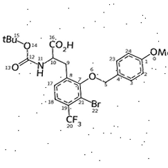 COc1ccc(COc2c(CC(NC(=O)OC(C)(C)C)C(=O)O)ccc(C(F)(F)F)c2Br)cc1